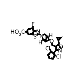 O=C(O)c1cc(F)c2nc(N3C[C@H]4C[C@@H]3CC4OCc3c(-c4c(Cl)cccc4Cl)noc3C3CC3)sc2c1